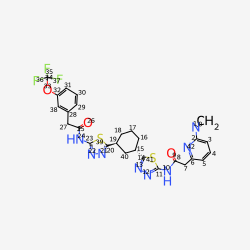 C=Nc1cccc(CC(=O)Nc2nnc([C@H]3CCC[C@H](c4nnc(NC(=O)Cc5cccc(OC(F)(F)F)c5)s4)C3)s2)n1